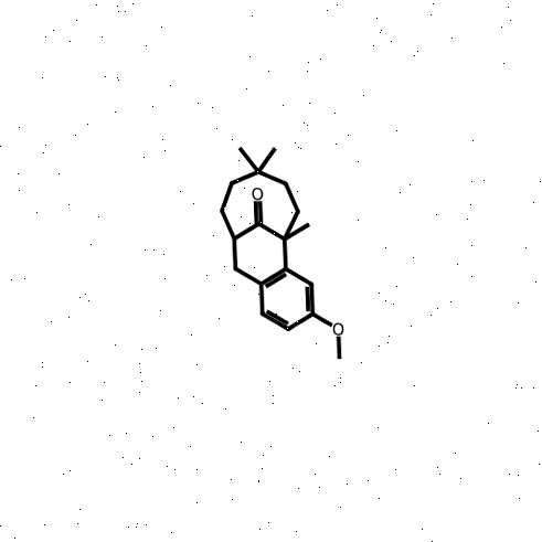 COc1ccc2c(c1)C1(C)CCC(C)(C)CCC(C2)C1=O